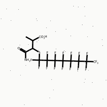 CC(C(=O)O)C(SC(F)(F)C(F)(F)C(F)(F)C(F)(F)C(F)(F)C(F)(F)C(F)(F)C(F)(F)F)C(N)=O